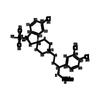 CNC[C@@H](CCN1CCC2(CC1)CN(S(C)(=O)=O)c1ccc(Cl)cc12)c1ccc(Cl)c(Cl)c1